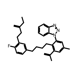 C=C(CC)CCc1cc(CCCCc2c(C(=C)C)cc(C)cc2-n2nnc3ccccc32)ccc1F